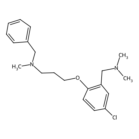 CN(C)Cc1cc(Cl)ccc1OCCCN(C)Cc1ccccc1